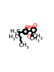 CCCCC(C)C(C)c1cc(O)c2c(c1)OC(C)(C)C1CCC(=O)CC21